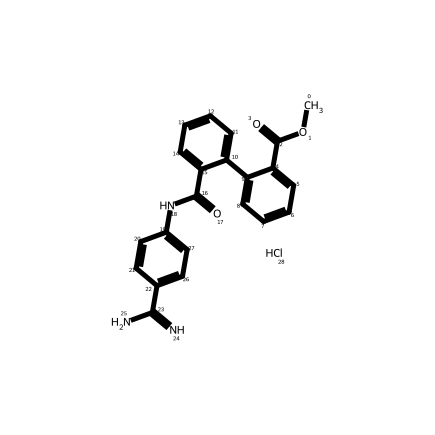 COC(=O)c1ccccc1-c1ccccc1C(=O)Nc1ccc(C(=N)N)cc1.Cl